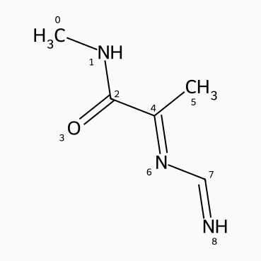 CNC(=O)/C(C)=N/C=N